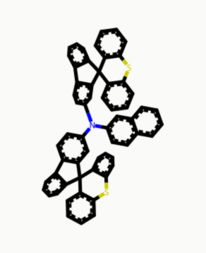 c1ccc2c(c1)Sc1ccccc1C21c2ccccc2-c2ccc(N(c3ccc4c(c3)C3(c5ccccc5Sc5ccccc53)c3ccccc3-4)c3ccc4ccccc4c3)cc21